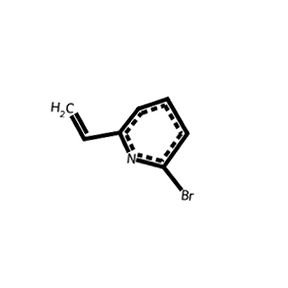 C=Cc1cccc(Br)n1